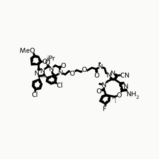 COc1ccc(C2=N[C@H](c3ccc(Cl)cc3)[C@H](c3ccc(Cl)cc3)N2C(=O)N2CCN(CCOCCOCCC(=O)N(C)CCn3nc(C#N)c4c3CN(C)C(=O)c3ccc(F)cc3[C@@H](C)Oc3cc-4cnc3N)C(=O)C2)c(OC(C)C)c1